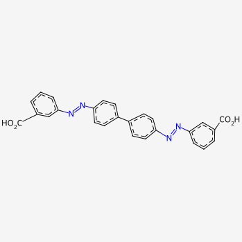 O=C(O)c1cccc(/N=N/c2ccc(-c3ccc(/N=N/c4cccc(C(=O)O)c4)cc3)cc2)c1